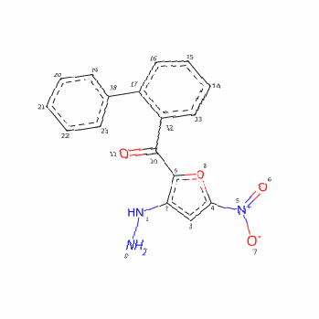 NNc1cc([N+](=O)[O-])oc1C(=O)c1ccccc1-c1ccccc1